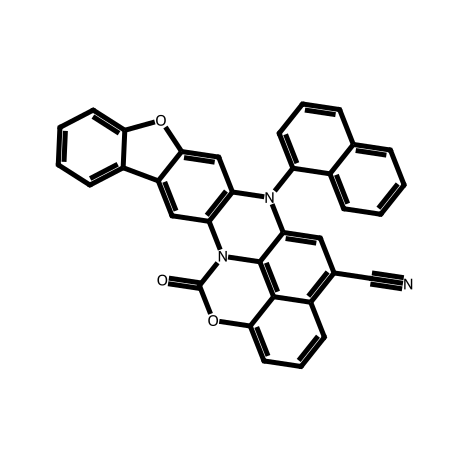 N#Cc1cc2c3c4c(cccc14)oc(=O)n-3c1cc3c(cc1n2-c1cccc2ccccc12)oc1ccccc13